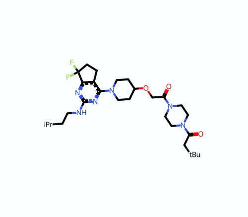 CC(C)CCNc1nc(N2CCC(OCC(=O)N3CCN(C(=O)CC(C)(C)C)CC3)CC2)c2c(n1)C(F)(F)CC2